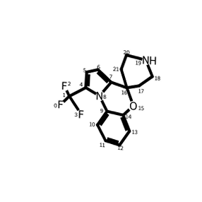 FC(F)(F)c1ccc2n1-c1ccccc1OC21CCNCC1